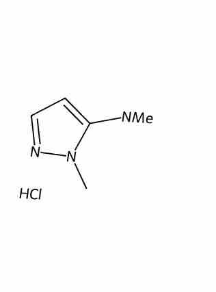 CNc1ccnn1C.Cl